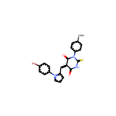 COc1ccc(N2C(=O)/C(=C/c3cccn3-c3ccc(Br)cc3)C(=O)NC2=S)cc1